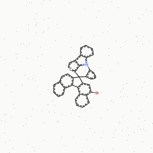 Brc1cc2c(c3ccccc13)-c1c(ccc3ccccc13)C21c2ccccc2-n2c3ccccc3c3cccc1c32